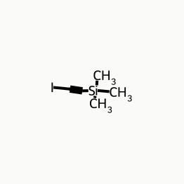 C[Si](C)(C)C#CI